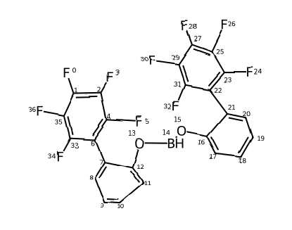 Fc1c(F)c(F)c(-c2ccccc2OBOc2ccccc2-c2c(F)c(F)c(F)c(F)c2F)c(F)c1F